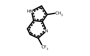 Cc1c[nH]c2ccc(C(F)(F)F)nc12